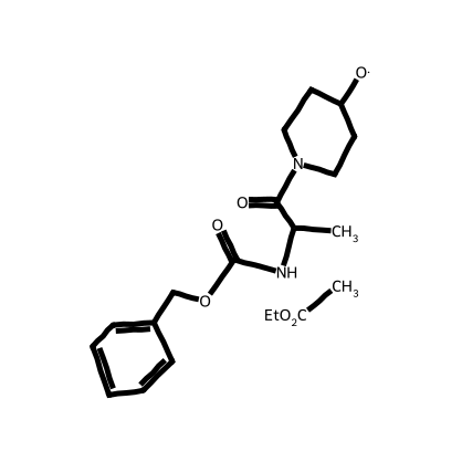 CC(NC(=O)OCc1ccccc1)C(=O)N1CCC([O])CC1.CCOC(C)=O